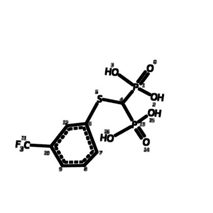 O=P(O)(O)C(Sc1cccc(C(F)(F)F)c1)P(=O)(O)O